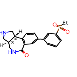 CCS(=O)(=O)c1cccc(-c2ccc3c(c2)C(=O)NC[C@H]2CNC[C@H]32)c1